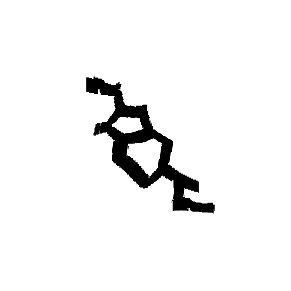 CCCCCNc1ccc2[nH]c(CCCCC)nc2c1